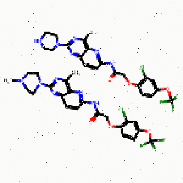 Cc1nc(N2CCN(C)CC2)nc2ccc(NC(=O)COc3ccc(OC(F)(F)F)cc3Cl)nc12.Cc1nc(N2CCNCC2)nc2ccc(NC(=O)COc3ccc(OC(F)(F)F)cc3Cl)nc12